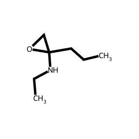 CCCC1(NCC)CO1